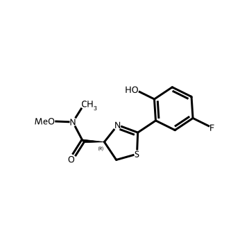 CON(C)C(=O)[C@@H]1CSC(c2cc(F)ccc2O)=N1